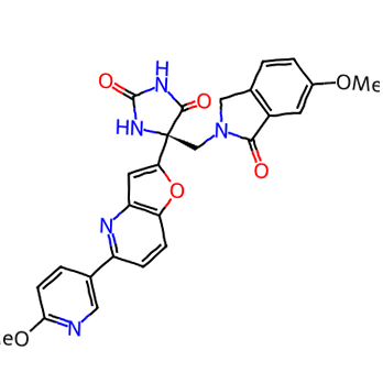 COc1ccc2c(c1)C(=O)N(C[C@@]1(c3cc4nc(-c5ccc(OC)nc5)ccc4o3)NC(=O)NC1=O)C2